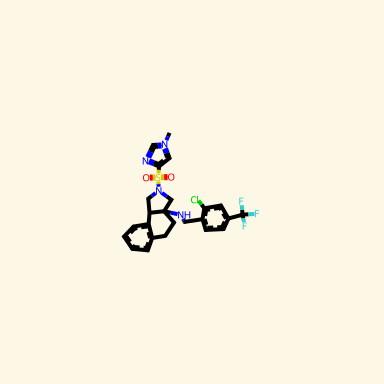 Cn1cnc(S(=O)(=O)N2CC3c4ccccc4CCC3(NCc3ccc(C(F)(F)F)cc3Cl)C2)c1